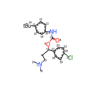 CN(C)CCC(OC(=O)Nc1ccc(C(C)(C)C)cc1)c1ccc(Cl)cc1